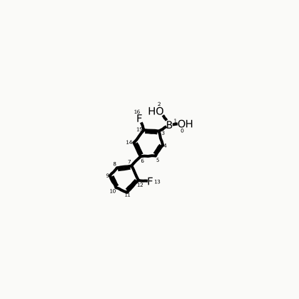 OB(O)c1ccc(-c2ccccc2F)cc1F